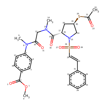 COC(=O)c1ccc(N(C)C(=O)CN(C)C(=O)[C@@H]2C[C@@H](SC(C)=O)CN2S(=O)(=O)C=Cc2ccccc2)cc1